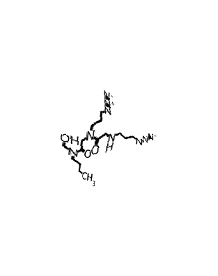 CCCCN(CO)C(=O)CN(CCCN=[N+]=[N-])C(=O)CNCCCN=[N+]=[N-]